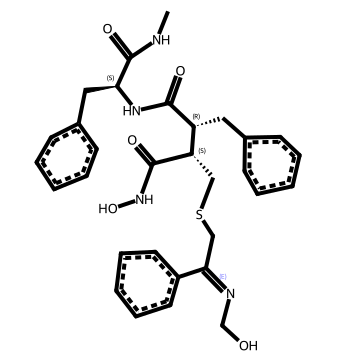 CNC(=O)[C@H](Cc1ccccc1)NC(=O)[C@H](Cc1ccccc1)[C@H](CSC/C(=N/CO)c1ccccc1)C(=O)NO